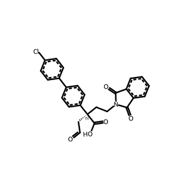 O=CC[C@](CCN1C(=O)c2ccccc2C1=O)(C(=O)O)c1ccc(-c2ccc(Cl)cc2)cc1